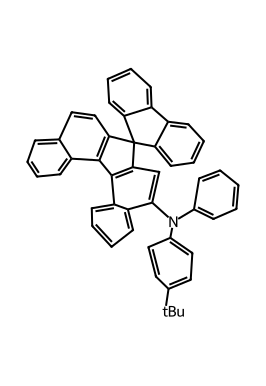 CC(C)(C)c1ccc(N(c2ccccc2)c2cc3c(c4ccccc24)-c2c(ccc4ccccc24)C32c3ccccc3-c3ccccc32)cc1